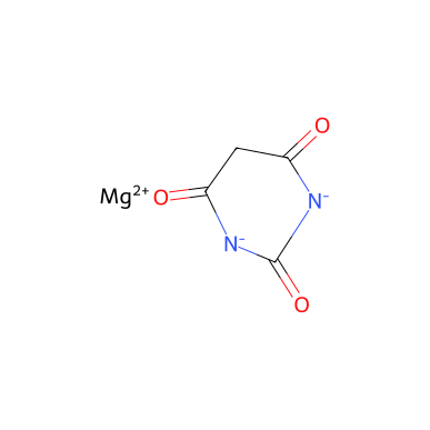 O=C1CC(=O)[N-]C(=O)[N-]1.[Mg+2]